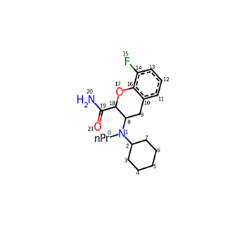 CCCN(C1CCCCC1)C1Cc2cccc(F)c2OC1C(N)=O